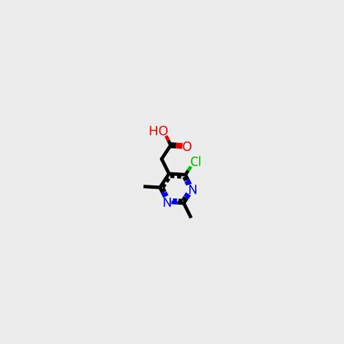 Cc1nc(C)c(CC(=O)O)c(Cl)n1